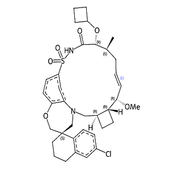 CO[C@H]1/C=C/C[C@H](C)[C@@H](OC2CCC2)C(=O)NS(=O)(=O)c2ccc3c(c2)N(C[C@@H]2CC[C@H]21)C[C@@]1(CCCc2cc(Cl)ccc21)CO3